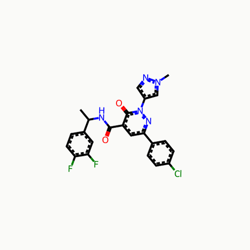 CC(NC(=O)c1cc(-c2ccc(Cl)cc2)nn(-c2cnn(C)c2)c1=O)c1ccc(F)c(F)c1